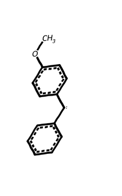 COc1ccc([C]c2ccccc2)cc1